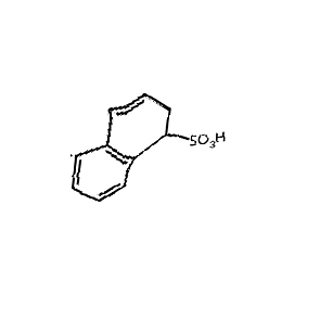 O=S(=O)(O)C1CC=Cc2[c]cccc21